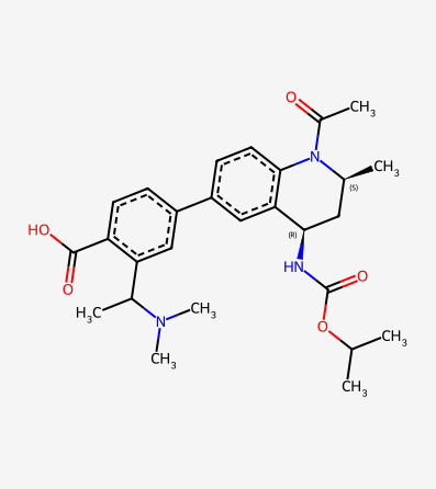 CC(=O)N1c2ccc(-c3ccc(C(=O)O)c(C(C)N(C)C)c3)cc2[C@H](NC(=O)OC(C)C)C[C@@H]1C